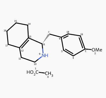 CC(=O)O.COc1ccc(C[C@@H]2NCCC3=C2CCCC3)cc1